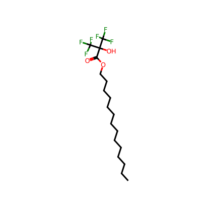 CCCCCCCCCCCCCCOC(=O)C(O)(C(F)(F)F)C(F)(F)F